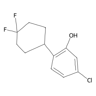 Oc1cc(Cl)ccc1C1CCC(F)(F)CC1